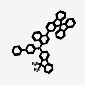 CC1(C)c2ccccc2-c2ccc(N(C3=CCC(C4=CCCC=C4)C=C3)C3=C4C=CC=CC4C(C4C=CC5=C(C4)C4(c6ccccc65)c5ccccc5-c5ccccc54)C=C3)cc21